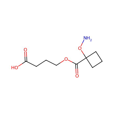 NOC1(C(=O)OCCCC(=O)O)CCC1